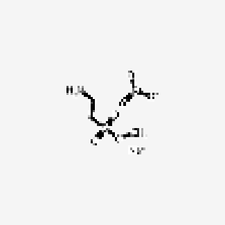 COS(=O)(=O)CCN.O=[N+]([O-])[O-].[Na+]